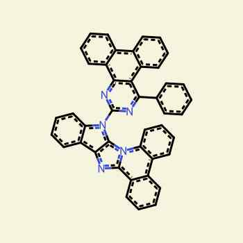 c1ccc(-c2nc(-n3c4ccccc4c4nc5c6ccccc6c6ccccc6n5c43)nc3c4ccccc4c4ccccc4c23)cc1